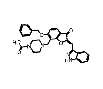 O=C1/C(=C/c2n[nH]c3ccccc23)Oc2c1ccc(OCc1ccccc1)c2CN1CCN(C(=O)O)CC1